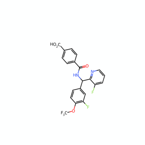 O=C(O)c1ccc(C(=O)NC(c2ccc(OC(F)(F)F)c(F)c2)c2ncccc2F)cc1